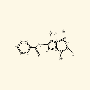 CCOC(=O)c1c(NC(=O)c2ccccc2)sc2c(O)c(Br)cc(Br)c12